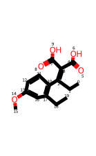 CCC(=C(C(=O)O)C(=O)O)c1ccc(OC)cc1CC